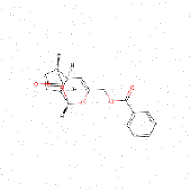 O=C(OCC1=C[C@H]2[C@@H]3C=C[C@H]2C(=O)O[C@@H]3O1)c1ccccc1